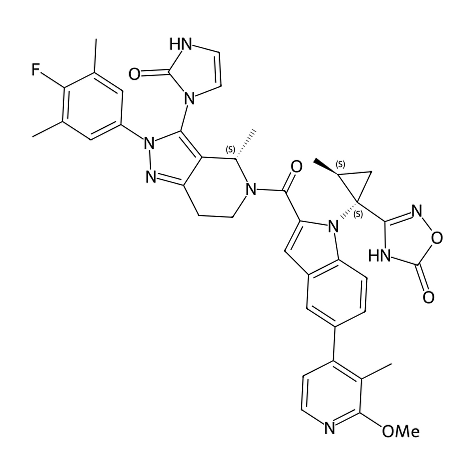 COc1nccc(-c2ccc3c(c2)cc(C(=O)N2CCc4nn(-c5cc(C)c(F)c(C)c5)c(-n5cc[nH]c5=O)c4[C@@H]2C)n3[C@@]2(c3noc(=O)[nH]3)C[C@@H]2C)c1C